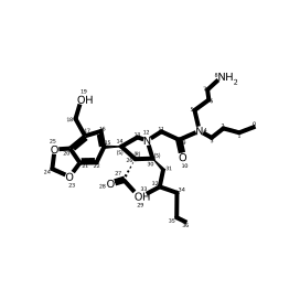 CCCCN(CCCN)C(=O)CN1C[C@H](c2cc(CO)c3c(c2)OCO3)[C@@H](C(=O)O)[C@@H]1CC(C)CCC